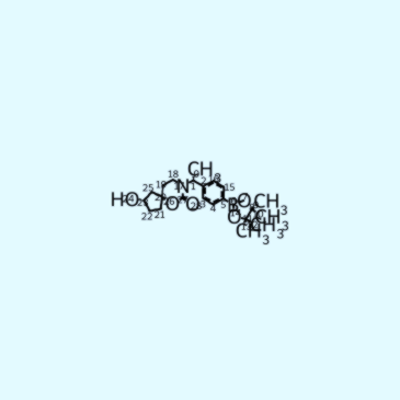 C[C@@H](c1ccc(B2OC(C)(C)C(C)(C)O2)cc1)N1CC[C@]2(CC[C@H](O)C2)OC1=O